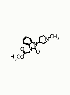 COC(=O)Cn1c(=O)n(C2CCN(C)CC2)c2ccccc21